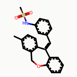 Cc1ccc2c(c1)COc1ccccc1/C2=C/c1cccc(NS(C)(=O)=O)c1